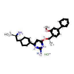 CC(C)(C)Oc1cc(-c2ccccc2)ccc1[C@@H](Oc1cc(C2=CCC(C[C@H](N)C(=O)O)CC2)nc(N)n1)C(F)(F)F.Cl